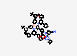 CC(C)(C)c1cc(-c2ccc3c(c2)N(c2cc(-c4ccccc4)cc(-c4ccccc4)c2)c2cc(-c4ccc5c(c4)c4ccccc4n5-c4ccc(C#N)cc4-c4nc(-c5ccccc5)nc(-c5ccccc5)n4)cc4c2B3c2ccc(-c3cc(C(C)(C)C)cc(C(C)(C)C)c3)cc2N4c2cc(-c3ccccc3)cc(-c3ccccc3)c2)cc(C(C)(C)C)c1